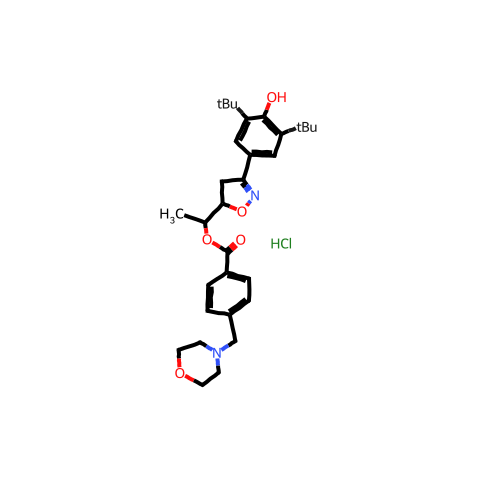 CC(OC(=O)c1ccc(CN2CCOCC2)cc1)C1CC(c2cc(C(C)(C)C)c(O)c(C(C)(C)C)c2)=NO1.Cl